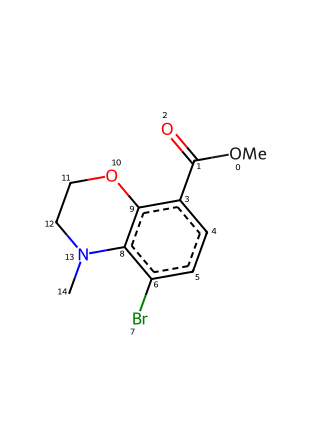 COC(=O)c1ccc(Br)c2c1OCCN2C